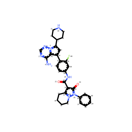 Nc1ncnn2c(C3CCNCC3)cc(-c3ccc(NC(=O)c4c5n(n(-c6ccccc6)c4=O)CCCC5)cc3F)c12